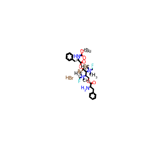 Br.CC(C)(C)OC(=O)N[C@@H](Cc1ccccc1)C(=O)OC(Br)(Br)C(C(COC(=O)[C@@H](N)Cc1ccccc1)[N+](C)(C)CF)[N+](C)(C)CF